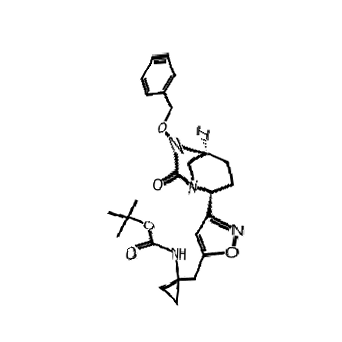 CC(C)(C)OC(=O)NC1(Cc2cc([C@@H]3CC[C@H]4CN3C(=O)N4OCc3ccccc3)no2)CC1